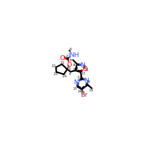 CNC(=O)OC1(Cc2c(C)noc2-c2ncc(Br)c(C)n2)CCCC1